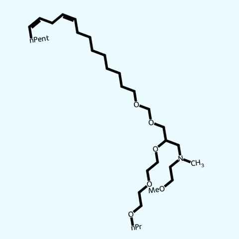 CCCCC/C=C\C/C=C\CCCCCCCCOCOCC(CN(C)CCOC)OCCOCCOCCC